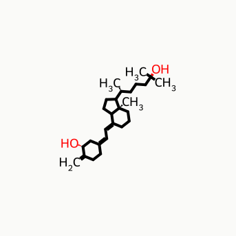 C=C1CC/C(=C/C=C2\CCC[C@@]3(C)C2CCC3[C@H](C)CCCC(C)(C)O)C[C@H]1O